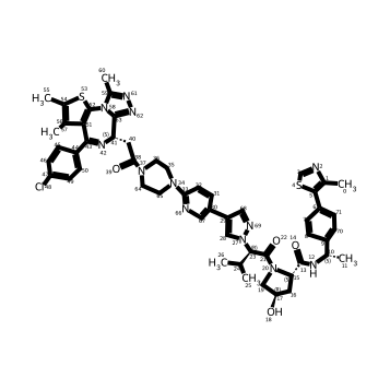 Cc1ncsc1-c1ccc([C@H](C)NC(=O)[C@@H]2C[C@@H](O)CN2C(=O)[C@@H](C(C)C)n2cc(-c3ccc(N4CCN(C(=O)C[C@@H]5N=C(c6ccc(Cl)cc6)c6c(sc(C)c6C)-n6c(C)nnc65)CC4)nc3)cn2)cc1